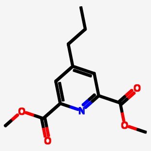 CCCc1cc(C(=O)OC)nc(C(=O)OC)c1